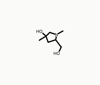 CN1CC(C)(O)CC1CO